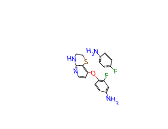 Nc1ccc(F)cc1.Nc1ccc(Oc2ccnc3c2SCCN3)c(F)c1